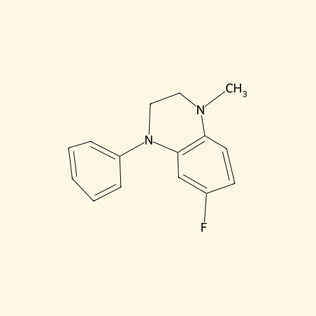 CN1CCN(c2ccccc2)c2cc(F)ccc21